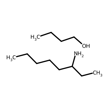 CCCCCC(N)CC.CCCCO